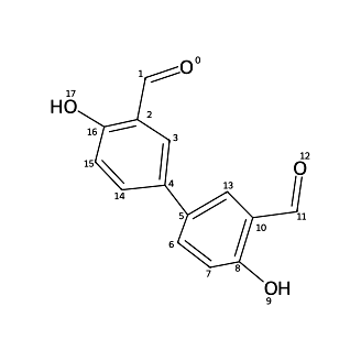 O=Cc1cc(-c2ccc(O)c(C=O)c2)ccc1O